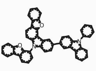 c1ccc(-n2c3ccccc3c3cc(-c4ccc5c(c4)c4c6oc7ccccc7c6ccc4n5-c4cccc5c4oc4ccccc45)ccc32)cc1